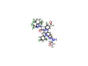 CC(=O)c1cc(-c2cc3sc(NC4CCOC4)nc3nc2[C@H](Cc2cc(F)cc(F)c2)NC(=O)Cn2nc(C(F)F)c3c2C(F)(F)CCC3(F)F)ccc1F